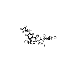 CC(CCC(=O)NC=O)N(C)C(=O)c1cc(NC2CCC2)ccc1C=O